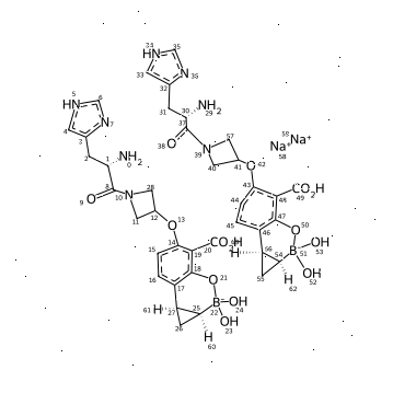 N[C@@H](Cc1c[nH]cn1)C(=O)N1CC(Oc2ccc3c(c2C(=O)O)O[B-](O)(O)[C@H]2C[C@@H]32)C1.N[C@@H](Cc1c[nH]cn1)C(=O)N1CC(Oc2ccc3c(c2C(=O)O)O[B-](O)(O)[C@H]2C[C@@H]32)C1.[Na+].[Na+]